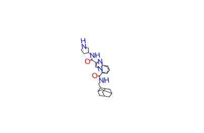 O=C(NC1CCNC1)c1cn2c(C(=O)NCC3C4CC5CC(C4)CC3C5)cccc2n1